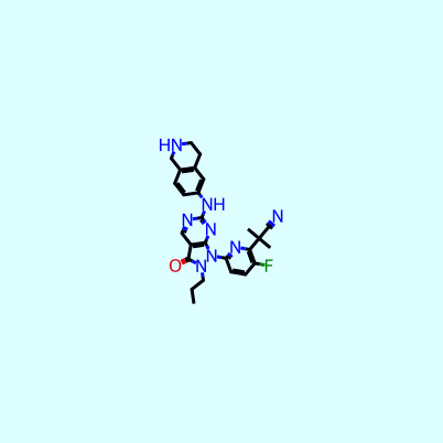 CCCn1c(=O)c2cnc(Nc3ccc4c(c3)CCNC4)nc2n1-c1ccc(F)c(C(C)(C)C#N)n1